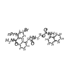 CCC[n+]1cc(Br)cc(-c2ccccc2CC(=O)NCCOC(=O)Nc2cccc3ccccc23)c1C(N)=O